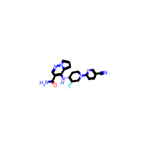 N#Cc1ccc(N2CC[C@@H](Nc3c(C(N)=O)cnn4cccc34)[C@H](F)C2)nc1